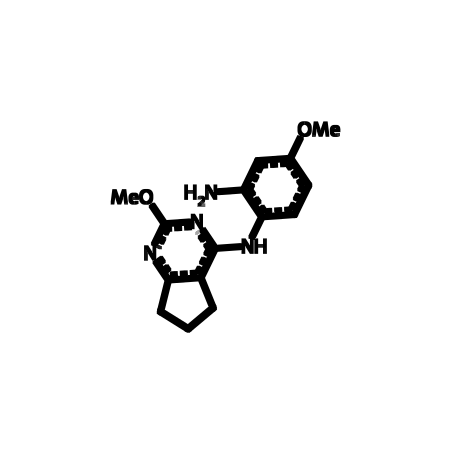 COc1ccc(Nc2nc(OC)nc3c2CCC3)c(N)c1